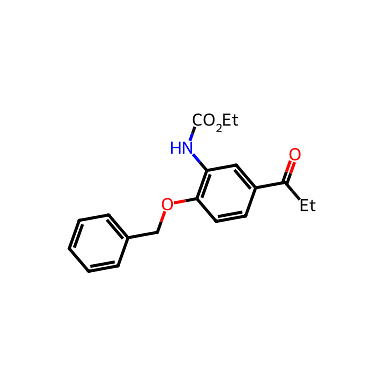 CCOC(=O)Nc1cc(C(=O)CC)ccc1OCc1ccccc1